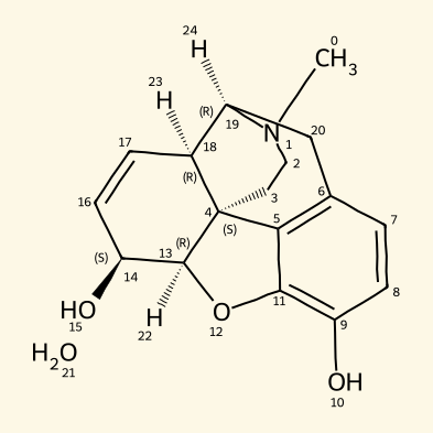 CN1CC[C@]23c4c5ccc(O)c4O[C@H]2[C@@H](O)C=C[C@H]3[C@H]1C5.O